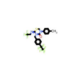 Cc1ccc(N2CS/C(=N/CC(F)(F)F)N(Cc3ccc(C(F)(F)C(F)(F)F)cc3)C2=O)cc1